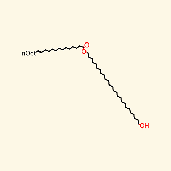 CCCCCCCCC=CCCCCCCCCCCCC(=O)OCCCCCCCCCCCCCCCCCCCCCCCCCCO